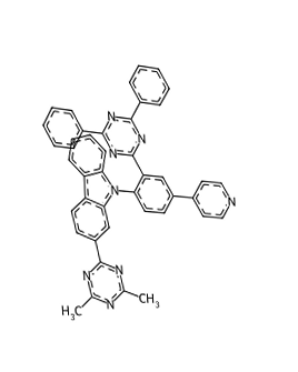 Cc1nc(C)nc(-c2ccc3c4ccccc4n(-c4ccc(-c5ccncc5)cc4-c4nc(-c5ccccc5)nc(-c5ccccc5)n4)c3c2)n1